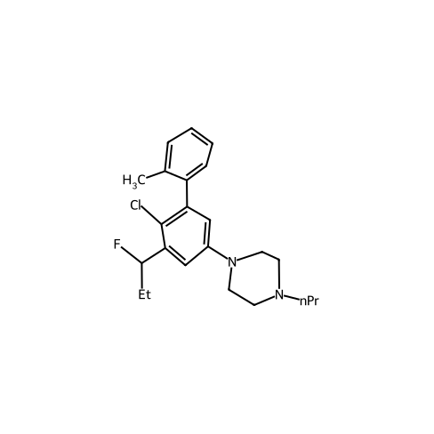 CCCN1CCN(c2cc(-c3ccccc3C)c(Cl)c(C(F)CC)c2)CC1